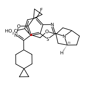 O=C(O)c1cc(F)c2nc(N3C4CC[C@H]3CC(OCc3c(C5CCC6(CC5)CC6)noc3C3CC3)C4)sc2c1